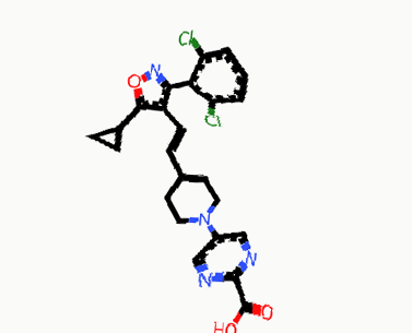 O=C(O)c1ncc(N2CCC(/C=C/c3c(-c4c(Cl)cccc4Cl)noc3C3CC3)CC2)cn1